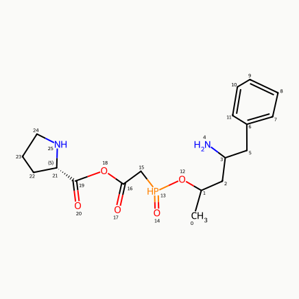 CC(CC(N)Cc1ccccc1)O[PH](=O)CC(=O)OC(=O)[C@@H]1CCCN1